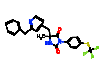 CC1(Cc2ccnc(Cc3ccccc3)c2)NC(=O)N(c2ccc(SC(F)(F)F)cc2)C1=O